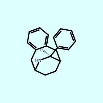 c1ccc([C@@H]2NC3CCC2Cc2ccccc2C3)cc1